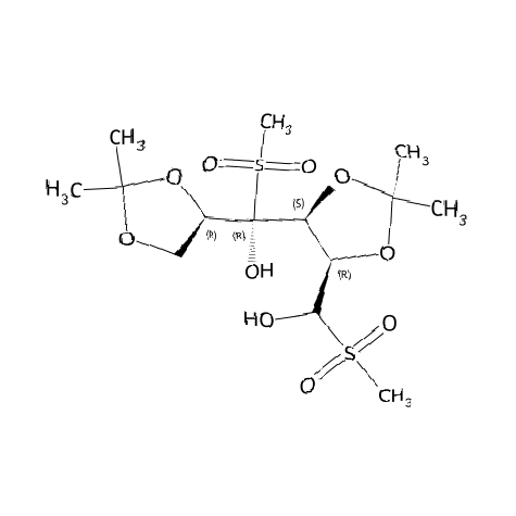 CC1(C)OC[C@H]([C@](O)([C@H]2OC(C)(C)O[C@H]2C(O)S(C)(=O)=O)S(C)(=O)=O)O1